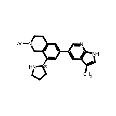 CC(=O)N1CCc2cc(-c3cnc4[nH]cc(C)c4c3)cc([C@H]3CCCN3)c2C1